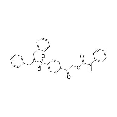 O=C(Nc1ccccc1)OCC(=O)c1ccc(S(=O)(=O)N(Cc2ccccc2)Cc2ccccc2)cc1